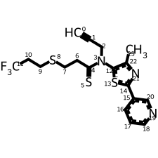 C#CCN(C(=S)CCSCCC(F)(F)F)c1sc(-c2cccnc2)nc1C